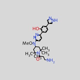 CON(c1ccc(-c2ccc(-c3cn[nH]c3)cc2O)nn1)C1CC(C)(C)N(C(=O)CCN)C(C)(C)C1